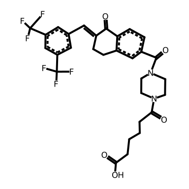 O=C(O)CCCCC(=O)N1CCN(C(=O)c2ccc3c(c2)CC/C(=C\c2cc(C(F)(F)F)cc(C(F)(F)F)c2)C3=O)CC1